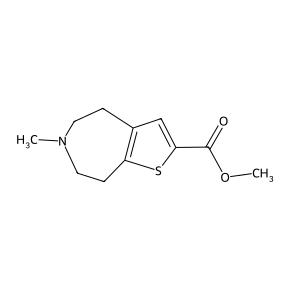 COC(=O)c1cc2c(s1)CCN(C)CC2